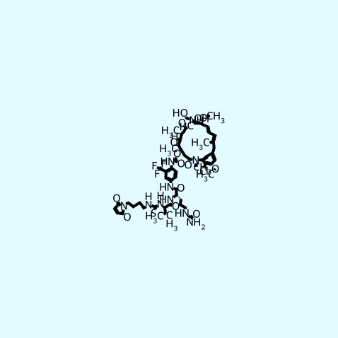 COc1cc2cc(c1Cl)N(C)C(=O)C[C@H](OC(=O)Nc1ccc(NC(=O)[C@H](CCCNC(N)=O)NC(=O)[C@@H](NC(=S)NCCCCN3C(=O)C=CC3=O)C(C)C)cc1C(F)(F)F)[C@]1(C)O[C@H]1[C@H](C)[C@@H]1C[C@@](O)(NC(O)O1)[C@H](OC)/C=C/C=C(\C)C2